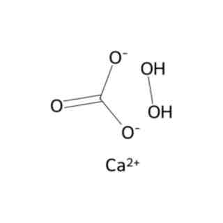 O=C([O-])[O-].OO.[Ca+2]